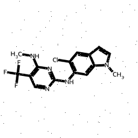 CNc1nc(Nc2cc3c([c]cn3C)cc2Cl)ncc1C(F)(F)F